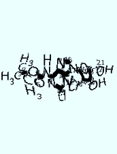 CC(C)(C)OC(=O)Nc1nc(Cl)nc2c1ncn2[C@@H]1O[C@H](CO)[C@@H](O)[C@@H]1Cl